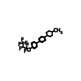 CC1CCC(c2ccc(-c3ccc(OC(F)(F)C(F)C(F)(F)F)cc3)cc2)CC1